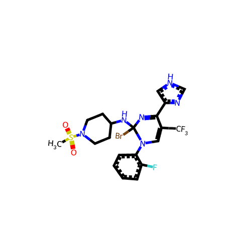 CS(=O)(=O)N1CCC(NC2(Br)N=C(c3c[nH]cn3)C(C(F)(F)F)=CN2c2ccccc2F)CC1